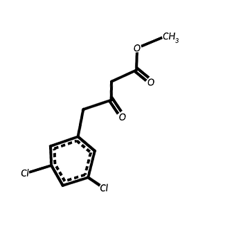 COC(=O)CC(=O)Cc1cc(Cl)cc(Cl)c1